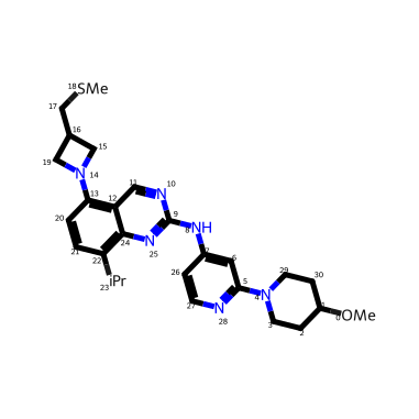 COC1CCN(c2cc(Nc3ncc4c(N5CC(CSC)C5)ccc(C(C)C)c4n3)ccn2)CC1